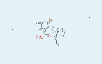 CC(C)(F)C1Cc2c(Br)cccc2C(O)O1